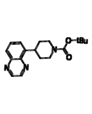 CC(C)(C)OC(=O)N1CCC(c2cccc3nccnc23)CC1